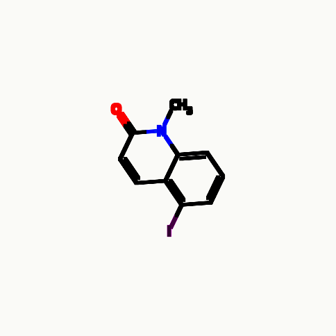 Cn1c(=O)ccc2c(I)cccc21